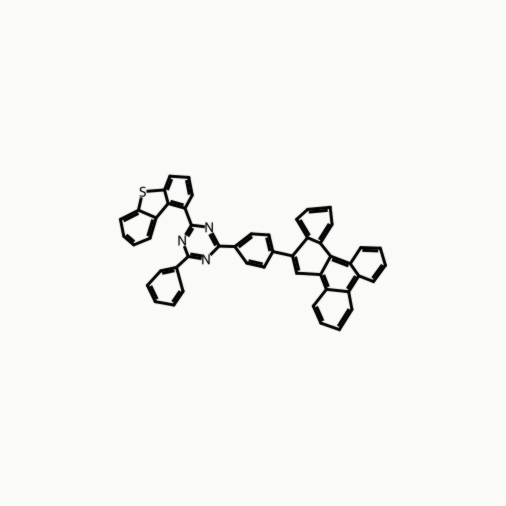 c1ccc(-c2nc(-c3ccc(-c4cc5c6ccccc6c6ccccc6c5c5ccccc45)cc3)nc(-c3cccc4sc5ccccc5c34)n2)cc1